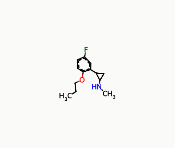 CCCOc1ccc(F)cc1C1CC1NC